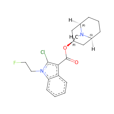 CN1[C@@H]2CCC[C@H]1C[C@@H](OC(=O)c1c(Cl)n(CCF)c3ccccc13)C2